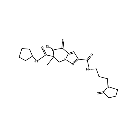 CCN1C(=O)c2cc(C(=O)NCCCN3CCCC3=O)nn2CC1(C)C(=O)NC1CCCC1